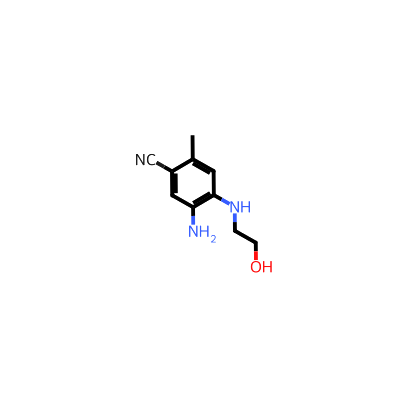 Cc1cc(NCCO)c(N)cc1C#N